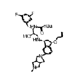 C=CCO[C@@H]1C[C@H](NC[C@@H](O)[C@H](Cc2cc(F)cc(F)c2)NC(=O)CCCC)c2cc(N3CC4CN(C)CC4C3)ccc21